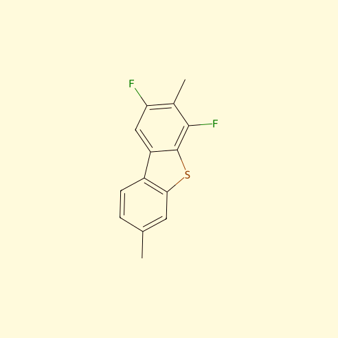 Cc1ccc2c(c1)sc1c(F)c(C)c(F)cc12